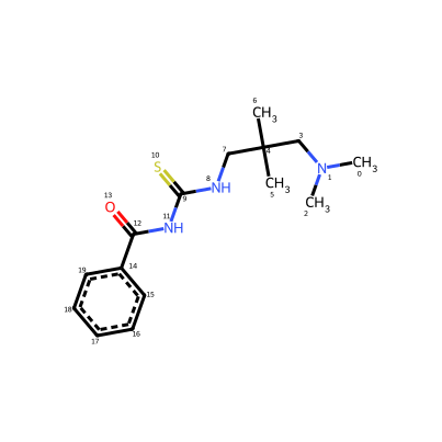 CN(C)CC(C)(C)CNC(=S)NC(=O)c1ccccc1